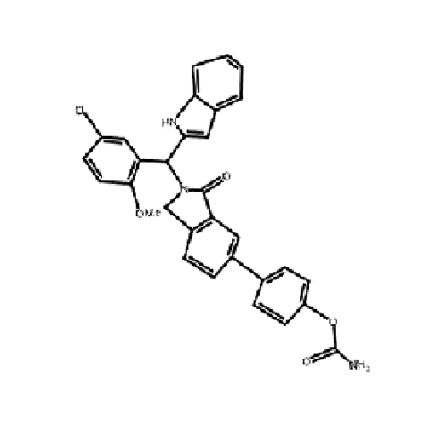 COc1ccc(Cl)cc1C(c1cc2ccccc2[nH]1)N1Cc2ccc(-c3ccc(OC(N)=O)cc3)cc2C1=O